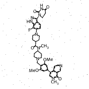 COc1cc(-c2cn(C)c(=O)c3cnccc23)cc(OC)c1CN1CCC(N(C)C(=O)C2CCN(c3ccc4c(N5CCC(=O)NC5=O)n[nH]c4c3F)CC2)CC1